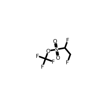 O=S(=O)(OC(F)(F)F)C(F)CF